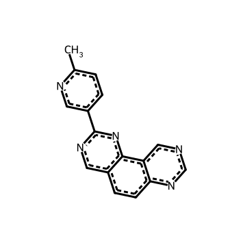 Cc1ccc(-c2ncc3ccc4ncncc4c3n2)cn1